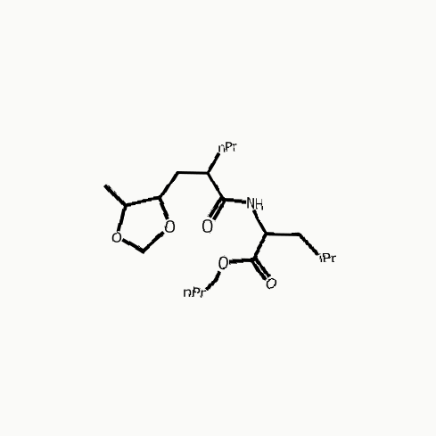 CCCOC(=O)C(CC(C)C)NC(=O)C(CCC)CC1OCOC1C